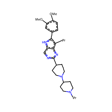 COc1ccc(-c2[nH]c3cnc(C4CCN(C5CCN(C(C)C)CC5)CC4)nc3c2C(C)C)cc1OC